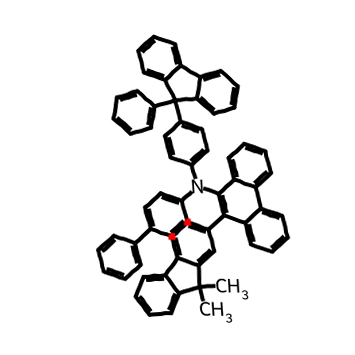 CC1(C)c2ccccc2-c2ccc(-c3c(N(c4ccc(-c5ccccc5)cc4)c4ccc(C5(c6ccccc6)c6ccccc6-c6ccccc65)cc4)c4ccccc4c4ccccc34)cc21